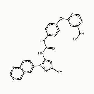 CC(C)Nc1cc(Oc2ccc(NC(=O)Nc3cc(C(C)C)nn3-c3ccc4ncccc4c3)cc2)ccn1